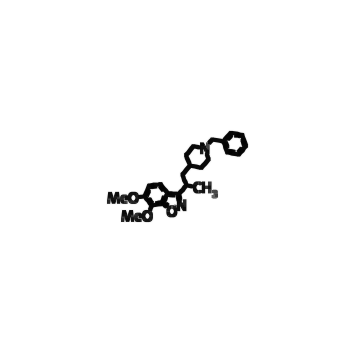 COc1ccc2c(C(C)CC3CCN(Cc4ccccc4)CC3)noc2c1OC